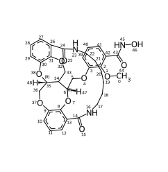 COc1c(OC[C@@H]2Oc3c4cccc3C(=O)NCCCCCCNC(=O)c3cccc5c3OCC2[C@H](CO4)O5)cccc1C(=O)NO